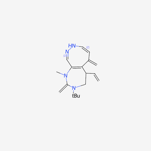 C=CC1CN(C(C)(C)C)C(=C)N(C)C2=C1C(=C)/C=C\N/N=C\2